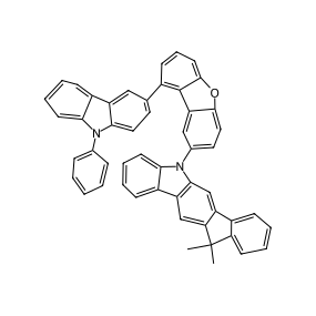 CC1(C)c2ccccc2-c2cc3c(cc21)c1ccccc1n3-c1ccc2oc3cccc(-c4ccc5c(c4)c4ccccc4n5-c4ccccc4)c3c2c1